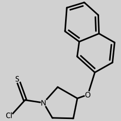 S=C(Cl)N1CCC(Oc2ccc3ccccc3c2)C1